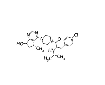 CC(C)N[C@H](Cc1ccc(Cl)cc1)C(=O)N1CCN(c2ncnc3c2[C@H](C)C[C@H]3O)CC1